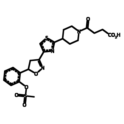 CS(=O)(=O)Oc1ccccc1C1CC(c2csc(C3CCN(C(=O)CCC(=O)O)CC3)n2)=NO1